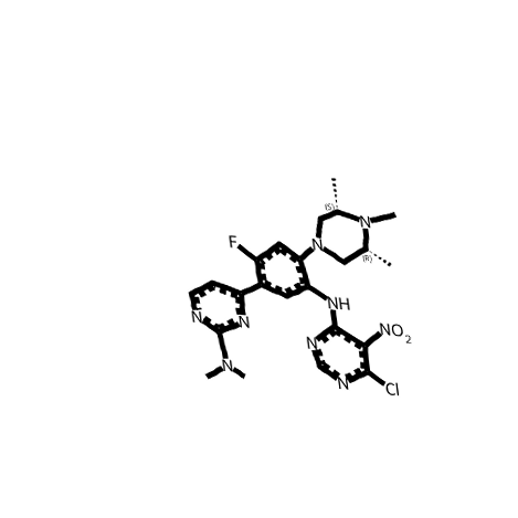 C[C@@H]1CN(c2cc(F)c(-c3ccnc(N(C)C)n3)cc2Nc2ncnc(Cl)c2[N+](=O)[O-])C[C@H](C)N1C